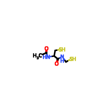 CC(=O)NC(CS)C(=O)NCS